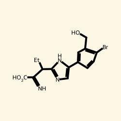 CCC(C(=N)C(=O)O)c1ncc(-c2ccc(Br)c(CO)c2)[nH]1